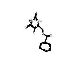 O=C(OCc1[nH]c(=O)[nH]c(=O)c1Cl)c1ccccc1